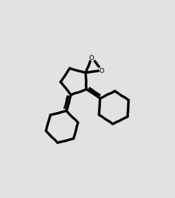 C1CCC(=C2CCC3(OO3)C2=C2CCCCC2)CC1